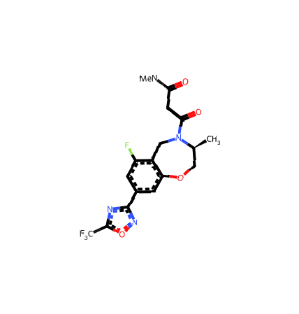 CNC(=O)CC(=O)N1Cc2c(F)cc(-c3noc(C(F)(F)F)n3)cc2OC[C@@H]1C